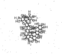 Bc1c(O)c(B)c2c(c1O)Oc1c(O)c(-c3c(O)c(O)c(-c4c(B)c(O)c(B)c5c4sc4c(-c6c(O)c(O)c(-c7c(O)c(O)c(O)c(O)c7O)c(O)c6O)c(O)c(O)c(O)c45)c(O)c3O)c(O)c3c1B2c1c(O)c(O)c(B)c(O)c1O3